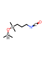 C[SiH](C)O[Si](C)(C)CCCN=C=O